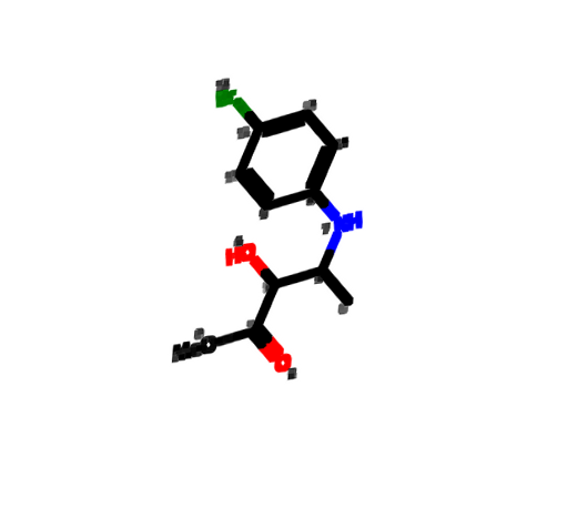 COC(=O)C(O)C(C)Nc1ccc(Br)cc1